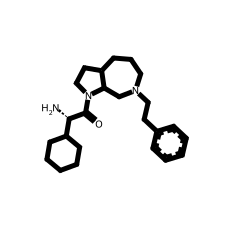 N[C@H](C(=O)N1CCC2CCCN(CCc3ccccc3)CC21)C1CCCCC1